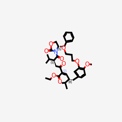 CCOC(=O)/C(=C\[C@H](Cc1ccc(OC)c(OCCCOC)c1)C(C)C)C(=O)C[C@H](C(=O)N1C(=O)OC[C@@H]1Cc1ccccc1)C(C)C